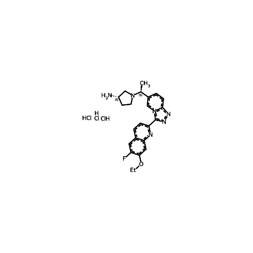 CCOc1cc2nc(-c3nnc4ccc([C@H](C)N5CC[C@H](N)C5)cn34)ccc2cc1F.Cl.Cl.Cl